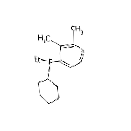 CCP(c1cccc(C)c1C)C1CCCCC1